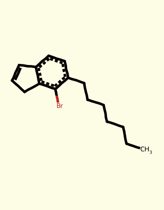 CCCCCCCc1ccc2c(c1Br)CC=C2